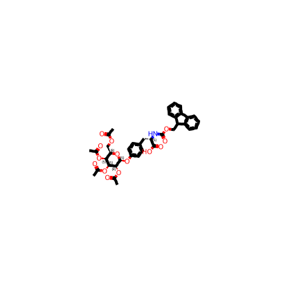 CC(=O)OC[C@H]1O[C@@H](Oc2ccc(C[C@H](NC(=O)OCC3c4ccccc4-c4ccccc43)C(=O)O)cc2)[C@H](OC(C)=O)[C@@H](OC(C)=O)[C@H]1OC(C)=O